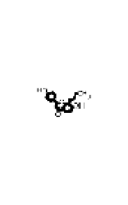 CCCCc1c(O)ccc2c(=O)cc(-c3ccc(O)cc3)oc12